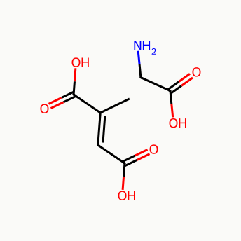 C/C(=C\C(=O)O)C(=O)O.NCC(=O)O